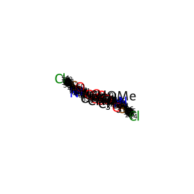 COc1cc(-n2cnc3cc(-c4ccc(Cl)cc4)sc3c2=O)ccc1OCC(C)(C)OC(=O)C(=O)OC(C)(C)COc1ccc(-n2cnc3cc(-c4ccc(Cl)cc4)sc3c2=O)cc1OC